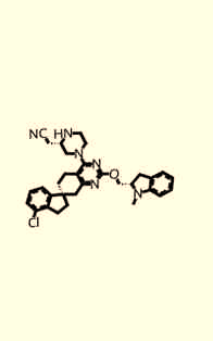 CN1c2ccccc2C[C@H]1COc1nc2c(c(N3CCN[C@@H](CC#N)C3)n1)CC[C@@]1(CCc3c(Cl)cccc31)C2